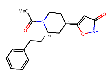 COC(=O)N1CC[C@@H](c2cc(=O)[nH]o2)C[C@@H]1CCc1ccccc1